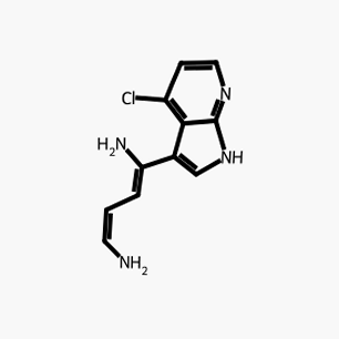 N/C=C\C=C(/N)c1c[nH]c2nccc(Cl)c12